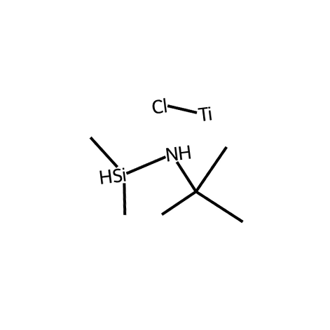 C[SiH](C)NC(C)(C)C.[Cl][Ti]